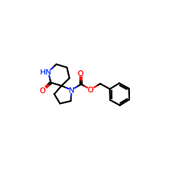 O=C(OCc1ccccc1)N1CCCC12CCCNC2=O